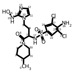 CC1CCN(C(=O)C(CCn2ccnc2NO)NS(=O)(=O)c2cc(Cl)c(N)c(Cl)c2)CC1